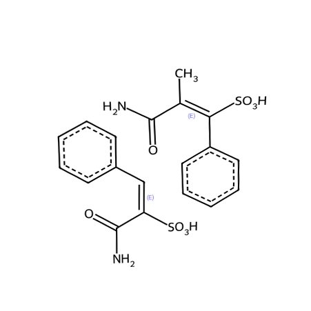 C/C(C(N)=O)=C(/c1ccccc1)S(=O)(=O)O.NC(=O)/C(=C\c1ccccc1)S(=O)(=O)O